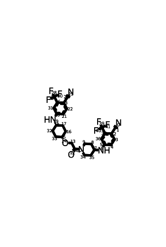 N#Cc1ccc(NC2CCN(C(=O)CO[C@H]3CC[C@H](Nc4ccc(C#N)c(C(F)(F)F)c4)CC3)CC2)cc1C(F)(F)F